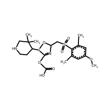 COc1cc(C)c(S(=O)(=O)CC2N=C(OC(=O)O)N(C3CCNCC3(C)C)O2)c(C)c1